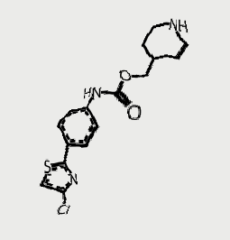 O=C(Nc1ccc(-c2nc(Cl)cs2)cc1)OCC1CCNCC1